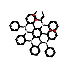 C/C=C\C(=C/C)N(c1ccccc1)c1c2c3c4c5c1-c1ccccc1N(c1ccccc1)B5c1ccccc1N4c1ccccc1B3N(c1ccccc1)c1ccccc1-2